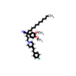 CCCCCCCCCCCCC(C#N)(CCCN1CCC(=CCc2ccc(F)cc2)CC1)c1ccc(OC)c(OC)c1